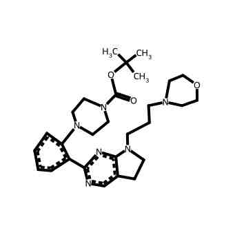 CC(C)(C)OC(=O)N1CCN(c2ccccc2-c2ncc3c(n2)N(CCCN2CCOCC2)CC3)CC1